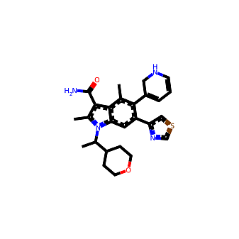 Cc1c(C2=CC=CNC2)c(-c2cscn2)cc2c1c(C(N)=O)c(C)n2C(C)C1CCOCC1